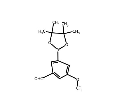 CC1(C)OB(c2cc(C=O)cc(OC(F)(F)F)c2)OC1(C)C